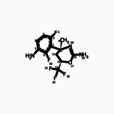 C[C@@]1(c2c(F)ccc(N)c2F)C[C@@H](C(F)(F)F)OC(N)=N1